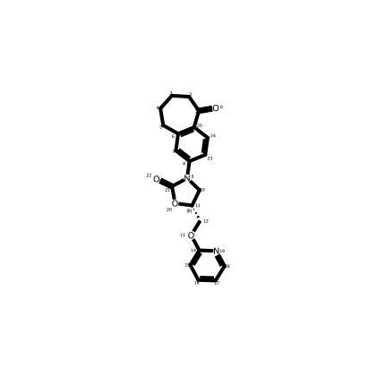 O=C1CCCCc2cc(N3C[C@H](COc4ccccn4)OC3=O)ccc21